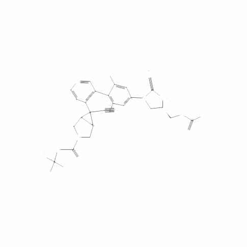 CC(=O)NC[C@H]1CN(c2cc(F)c(-c3cnccc3C3(C#N)C4CN(C(=O)OC(C)(C)C)CC43)c(F)c2)C(=O)O1